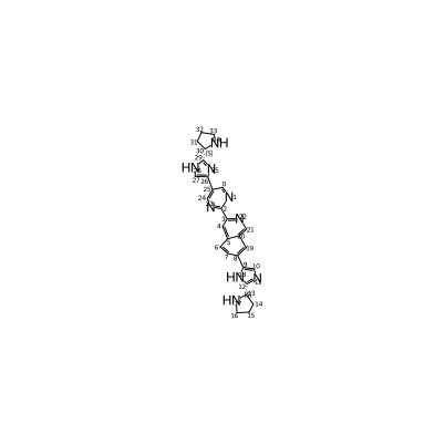 c1nc(-c2cc3ccc(-c4cnc([C@@H]5CCCN5)[nH]4)cc3cn2)ncc1-c1c[nH]c([C@@H]2CCCN2)n1